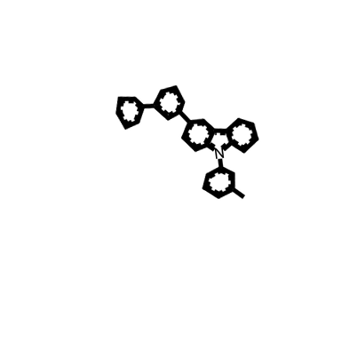 Cc1cccc(-n2c3ccccc3c3cc(-c4cccc(-c5ccccc5)c4)ccc32)c1